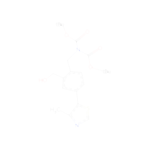 Cc1ncsc1-c1ccc(CN(C(=O)OC(C)(C)C)C(=O)OC(C)(C)C)c(CO)c1